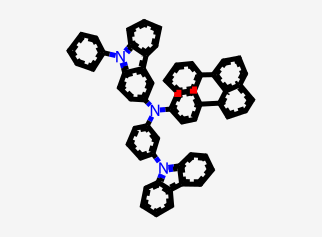 c1ccc(-c2cccc3cccc(-c4ccc(N(c5cccc(-n6c7ccccc7c7ccccc76)c5)c5ccc6c(c5)c5ccccc5n6-c5ccccc5)cc4)c23)cc1